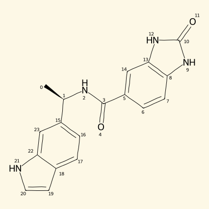 C[C@@H](NC(=O)c1ccc2[nH]c(=O)[nH]c2c1)c1ccc2cc[nH]c2c1